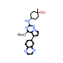 COc1nc(NC2CCC(C)(O)CC2)nn2ccc(-c3ccc4nccnc4c3)c12